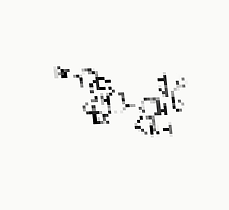 CCC1C=C(c2cc(NC(=O)C3CC3)nc3[nH]ccc23)CC(CC)N1C(=O)c1cccc(Br)c1